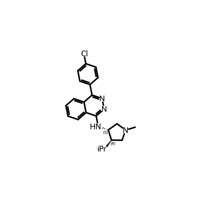 CC(C)[C@@H]1CN(C)C[C@H]1Nc1nnc(-c2ccc(Cl)cc2)c2ccccc12